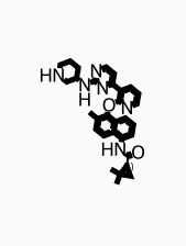 Cc1ccc2c(NC(=O)[C@H]3CC3(C)C)cccc2c1Oc1ncccc1-c1ccnc(NC2CCCNC2)n1